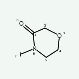 O=C1COCCN1I